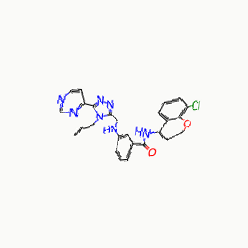 CCCn1c(CNc2cccc(C(=O)N[C@@H]3CCOc4c(Cl)cccc43)c2)nnc1-c1ccncn1